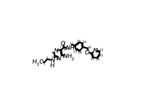 CCCNc1cnc(C(=O)NCc2ccc(COc3ccccn3)cc2)c(N)n1